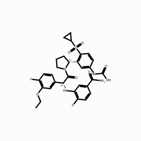 CCOc1cc([C@@H](Nc2cc(C(N)=O)ccc2F)C(=O)N2CCC[C@@H]2c2cc(NC(=O)O)ccc2S(=O)(=O)C2CC2)ccc1F